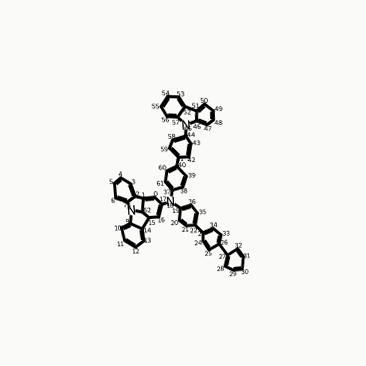 C1=C2c3ccccc3N3c4ccccc4C(C=C1N(c1ccc(-c4ccc(-c5ccccc5)cc4)cc1)c1ccc(-c4ccc(-n5c6ccccc6c6ccccc65)cc4)cc1)C23